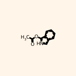 CC(=O)Oc1[nH]cc2ccccc12